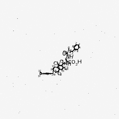 CN(Cc1ccccc1)C(=O)NCC(NC(=O)c1c(Cl)cc2c(c1Cl)CCN(CC#CC1CC1)C2=O)C(=O)O